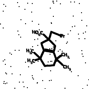 CC(C)CC1(C(=O)O)CC2=C(C1)C(C)(C)CCC2(C)C